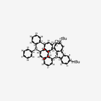 CC(C)(C)c1ccc2c(c1)c1cc(C(C)(C)C)ccc1n2-c1ccccc1-c1cc(C#N)cc(-c2ccccc2N(c2ccccc2)c2ccccc2)c1